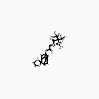 O=C(COC(=O)C(C(F)(F)F)(C(F)(F)F)S(=O)(=O)O)OC12CC3CC(C1)C1(OCCO1)C(C3)C2